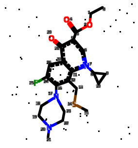 CCOC(=O)c1cn(C2CC2)c2c(CSC)c(N3CCN(C)CC3)c(F)cc2c1=O